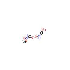 CC(C)(C)OC(=O)NCc1cccc(OCCOCCNc2ccc3c(c2)COC3=O)c1